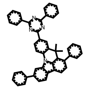 CC1(C)c2cc(-c3nc(-c4ccccc4)nc(-c4ccccc4)n3)ccc2-n2c3cc(-c4ccccc4)ccc3c3ccc(-c4ccccc4)c1c32